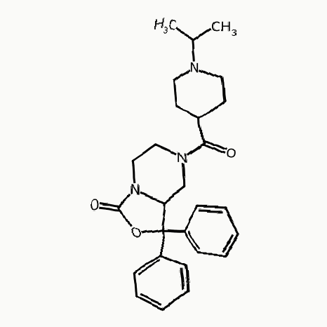 CC(C)N1CCC(C(=O)N2CCN3C(=O)OC(c4ccccc4)(c4ccccc4)C3C2)CC1